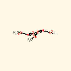 C=CC(=O)OCCCCCCOc1ccc(C(=O)Oc2ccc(OC(=O)c3ccc(OCCCCCCOC(=O)C=C)cc3)c(C(=O)OCCCC(F)(F)F)c2)cc1